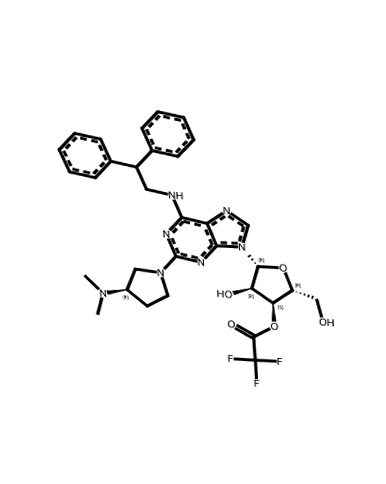 CN(C)[C@@H]1CCN(c2nc(NCC(c3ccccc3)c3ccccc3)c3ncn([C@@H]4O[C@H](CO)[C@@H](OC(=O)C(F)(F)F)[C@H]4O)c3n2)C1